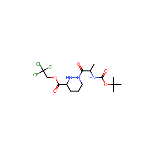 CC(NC(=O)OC(C)(C)C)C(=O)N1CCCC(C(=O)OCC(Cl)(Cl)Cl)N1